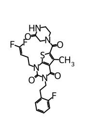 Cc1c(C(=O)N2CCNC(=O)C2)sc2c1c(=O)n(CCc1ccccc1F)c(=O)n2CCC=C(F)F